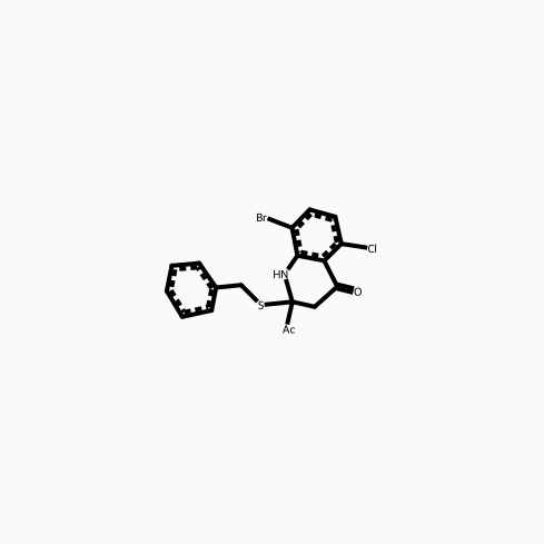 CC(=O)C1(SCc2ccccc2)CC(=O)c2c(Cl)ccc(Br)c2N1